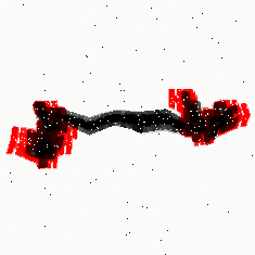 OCC1OC(O[C@H]2C(CO)OC(OCCCCCCCCCCCCCCCCCCCCCCCCO[C@@H]3OC(CO)[C@@H](O[C@H]4OC(CO)[C@@H](O)[C@H](O)C4O)[C@H](O)C3O)[C@H](O)C2O)[C@H](O)C(O)[C@H]1O